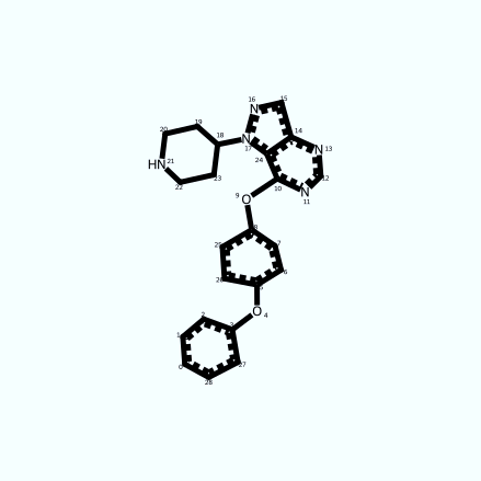 c1ccc(Oc2ccc(Oc3ncnc4cnn(C5CCNCC5)c34)cc2)cc1